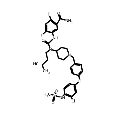 CCCCN(C(=O)Nc1cc(C(N)=O)c(F)cc1F)C1CCN(Cc2ccc(Oc3ccc(NS(C)(=O)=O)c(Cl)c3)cc2)CC1.Cl